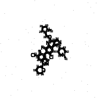 Cc1c(Cl)cc2c(cnn2C2CCCCO2)c1-c1c(Cl)cc2c(nc(OCC3CCCN3C)c3cnn(C4CCN(C)CC4)c32)c1F